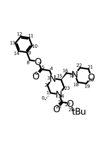 C[C@@H]1CN(CC(=O)OCc2ccccc2)[C@@H](CN2CCOCC2)CN1C(=O)OC(C)(C)C